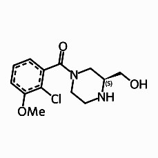 COc1cccc(C(=O)N2CCN[C@H](CO)C2)c1Cl